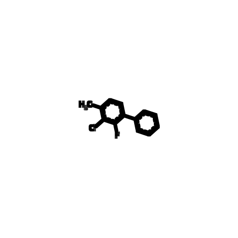 Cc1ccc(-c2ccccc2)c(F)c1Cl